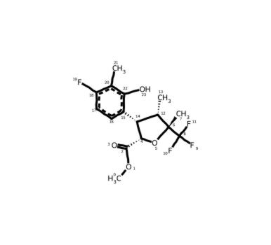 COC(=O)[C@H]1O[C@@](C)(C(F)(F)F)[C@@H](C)[C@H]1c1ccc(F)c(C)c1O